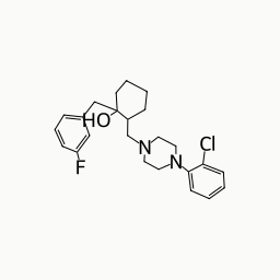 OC1(Cc2cccc(F)c2)CCCCC1CN1CCN(c2ccccc2Cl)CC1